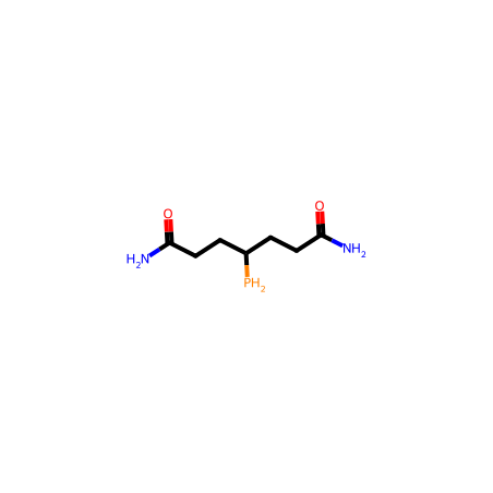 NC(=O)CCC(P)CCC(N)=O